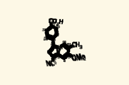 COc1cc2c(C#N)cc(-c3ccc(C(=O)O)cc3)n2cc1C